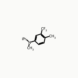 Cc1ccc(N(C)C(C)C)cc1C(F)(F)F